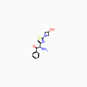 NC(C(=O)c1ccccc1)c1csc(N2CC(O)C2)n1